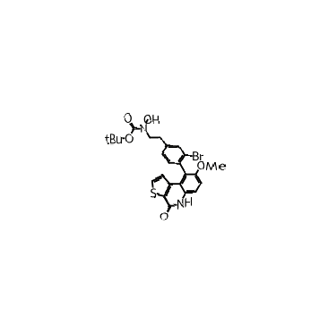 COc1ccc2[nH]c(=O)c3sccc3c2c1-c1ccc(CCN(O)C(=O)OC(C)(C)C)cc1Br